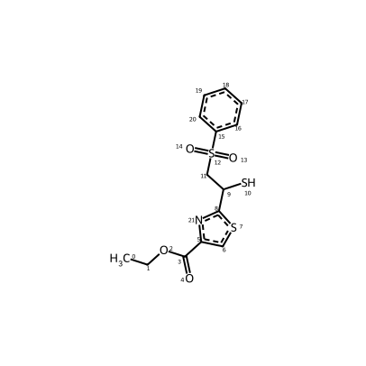 CCOC(=O)c1csc(C(S)CS(=O)(=O)c2ccccc2)n1